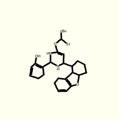 CCCCC(CC)OC1=CC(C2CCCC3OC4=C(CCC=C4)C32)NC(C2=C(O)C=CCC2)N1